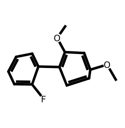 COc1ccc(-c2ccccc2F)c(OC)c1